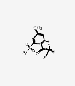 Cc1cc(F)c(C(=O)C(F)(F)F)c(S(C)(=O)=O)c1